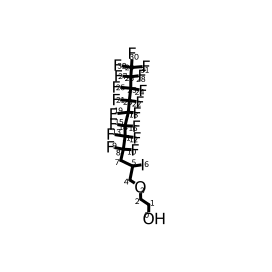 OCCOCC(I)CC(F)(F)C(F)(F)C(F)(F)C(F)(F)C(F)(F)C(F)(F)C(F)(F)C(F)(F)F